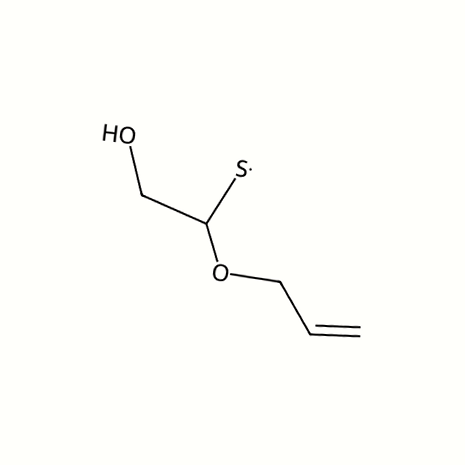 C=CCOC([S])CO